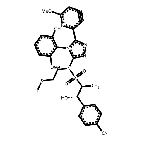 COc1cc#cc(-c2nnc(N(CCSI)S(=O)(=O)[C@@H](C)[C@@H](O)c3ccc(C#N)cc3)n2-c2c(O)cccc2OC)n1